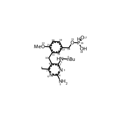 CCCCNc1nc(N)nc(C)c1Cc1cc(CO[PH](=O)O)ccc1OC